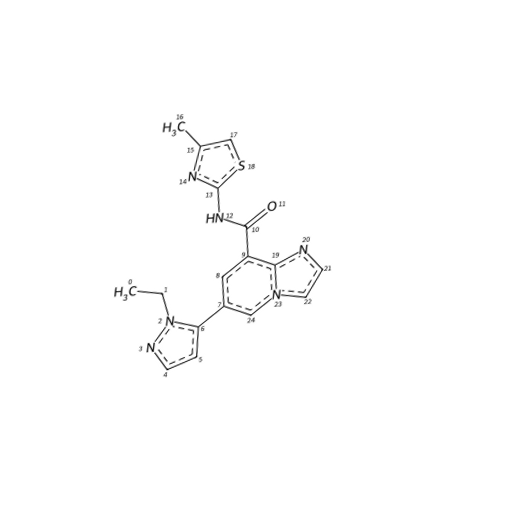 CCn1nccc1-c1cc(C(=O)Nc2nc(C)cs2)c2nccn2c1